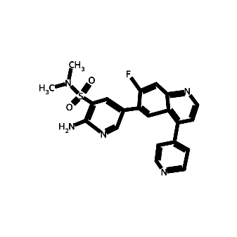 CN(C)S(=O)(=O)c1cc(-c2cc3c(-c4ccncc4)ccnc3cc2F)cnc1N